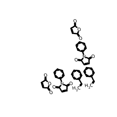 C=Cc1ccccc1.C=Cc1ccccc1.O=C1C=CC(=O)N1c1ccccc1.O=C1C=CC(=O)N1c1ccccc1.O=C1C=CC(=O)O1.O=C1C=CC(=O)O1